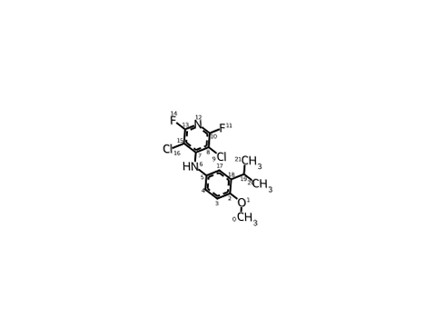 COc1ccc(Nc2c(Cl)c(F)nc(F)c2Cl)cc1C(C)C